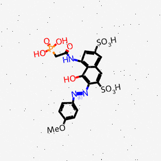 COc1ccc(/N=N/c2c(S(=O)(=O)O)cc3cc(S(=O)(=O)O)cc(NC(=O)CP(=O)(O)O)c3c2O)cc1